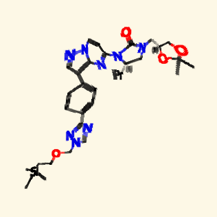 CC(C)[C@H]1CN(C[C@@H]2COC(C)(C)O2)C(=O)N1c1ccn2ncc(-c3ccc(-c4ncn(COCC[Si](C)(C)C)n4)cc3)c2n1